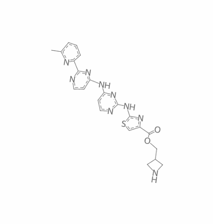 Cc1cccc(-c2nccc(Nc3ccnc(Nc4nc(C(=O)OCC5CNC5)cs4)n3)n2)n1